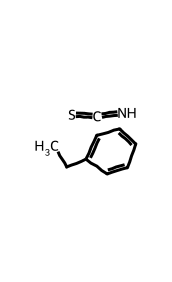 CCc1ccccc1.N=C=S